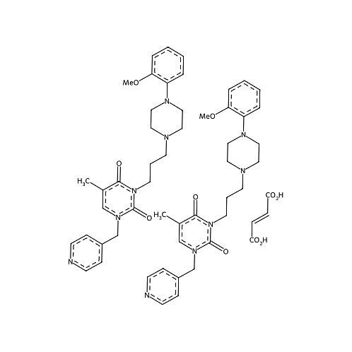 COc1ccccc1N1CCN(CCCn2c(=O)c(C)cn(Cc3ccncc3)c2=O)CC1.COc1ccccc1N1CCN(CCCn2c(=O)c(C)cn(Cc3ccncc3)c2=O)CC1.O=C(O)C=CC(=O)O